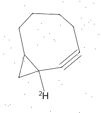 [2H]C12C#CCCCCC1C2